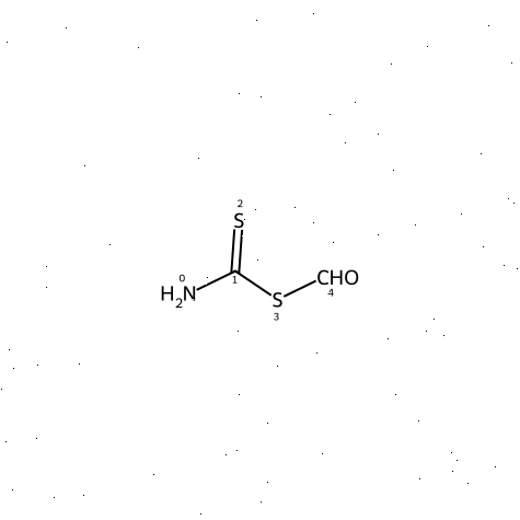 NC(=S)SC=O